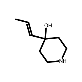 CC=CC1(O)CCNCC1